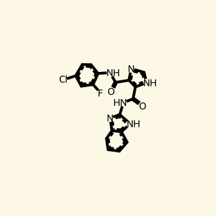 O=C(Nc1ccc(Cl)cc1F)c1nc[nH]c1C(=O)Nc1nc2ccccc2[nH]1